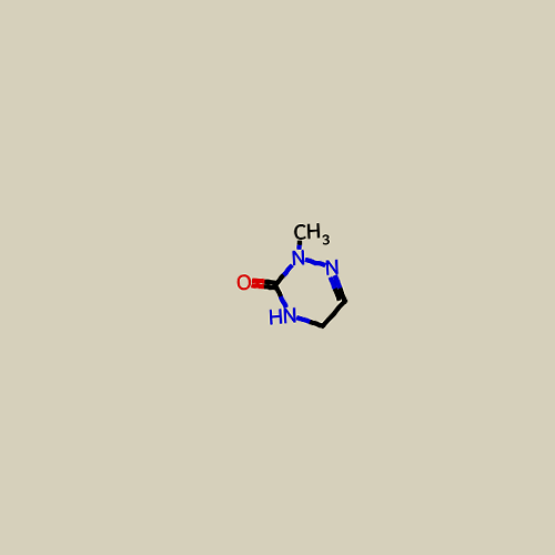 CN1N=CCNC1=O